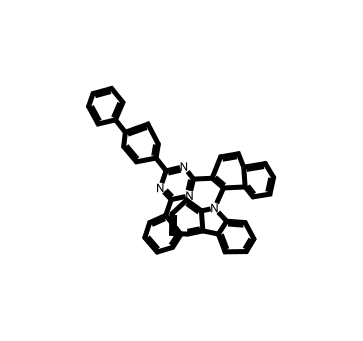 c1ccc(-c2ccc(-c3nc(-c4ccccc4)nc(-c4ccc5ccccc5c4-n4c5ccccc5c5ccccc54)n3)cc2)cc1